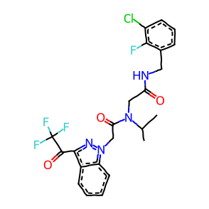 CC(C)N(CC(=O)NCc1cccc(Cl)c1F)C(=O)Cn1nc(C(=O)C(F)(F)F)c2ccccc21